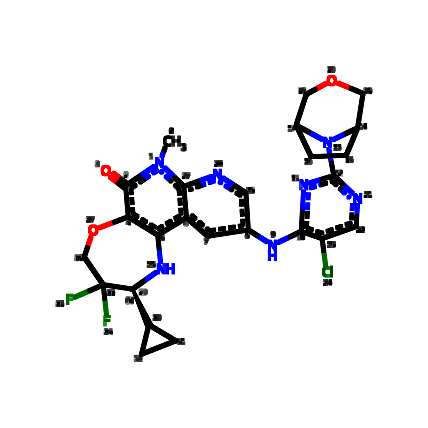 Cn1c(=O)c2c(c3cc(Nc4nc(N5C6CCC5COC6)ncc4Cl)cnc31)N[C@@H](C1CC1)C(F)(F)CO2